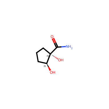 NC(=O)[C@]1(O)CCC[C@@H]1O